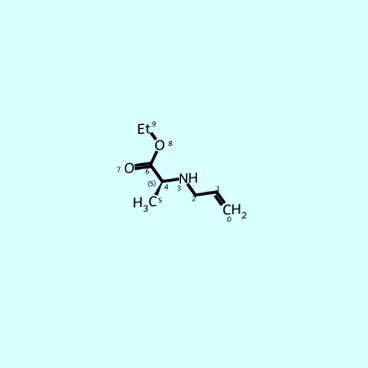 C=CCN[C@@H](C)C(=O)OCC